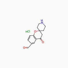 Cl.O=Cc1ccc2c(c1)C(=O)CC1(CCNCC1)O2